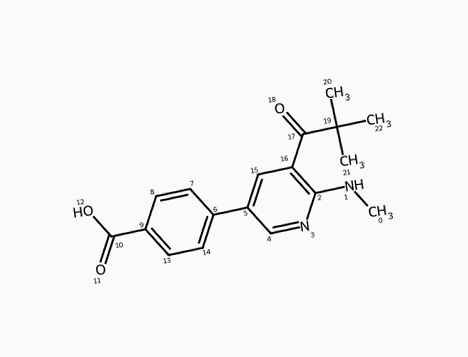 CNc1ncc(-c2ccc(C(=O)O)cc2)cc1C(=O)C(C)(C)C